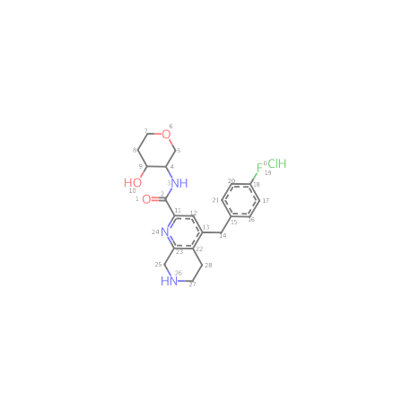 Cl.O=C(NC1COCCC1O)c1cc(Cc2ccc(F)cc2)c2c(n1)CNCC2